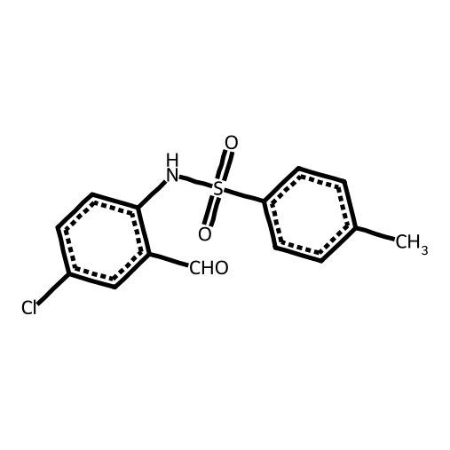 Cc1ccc(S(=O)(=O)Nc2ccc(Cl)cc2C=O)cc1